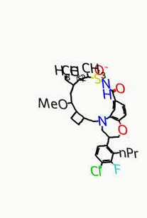 C=CC1CC(OC)C2CCC2CN2CC(c3ccc(Cl)c(F)c3CCC)COc3ccc(cc32)C(=O)N[S+]([O-])C(C)[C@H]1C